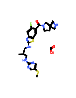 CSc1cnc(NCC(C)CNc2nc3cc(F)c(C(=O)N4CCC5(CNC5)C4)cc3s2)nc1.O=CO